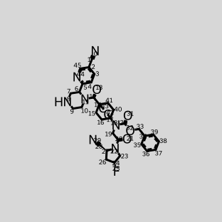 N#Cc1ccc(C2CNCCN2C(=O)C23CCC(N(CC(=O)N4C[C@@H](F)C[C@H]4C#N)C(=O)OCc4ccccc4)(CC2)CC3)nc1